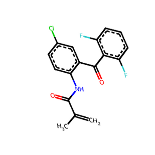 C=C(C)C(=O)Nc1ccc(Cl)cc1C(=O)c1c(F)cccc1F